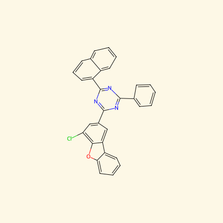 Clc1cc(-c2nc(-c3ccccc3)nc(-c3cccc4ccccc34)n2)cc2c1oc1ccccc12